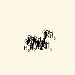 CC(C)C[C@H](N)C(=O)O.NCC(=O)O.NCCCC[C@H](N)C(=O)O.NCCCC[C@H](N)C(=O)O.N[C@@H](CO)C(=O)O